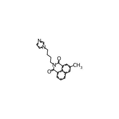 Cc1cc2c3c(cccc3c1)C(=O)N(CCCCn1ccnc1)C2=O